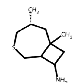 C[C@H]1CSCC2C(N)CC2(C)C1